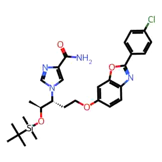 C[C@H](O[Si](C)(C)C(C)(C)C)[C@@H](CCOc1ccc2nc(-c3ccc(Cl)cc3)oc2c1)n1cnc(C(N)=O)c1